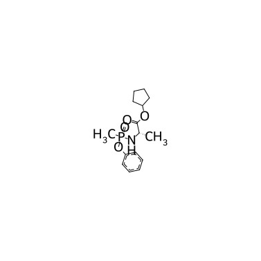 C[C@H](NP(C)(=O)Oc1ccccc1)C(=O)OC1CCCC1